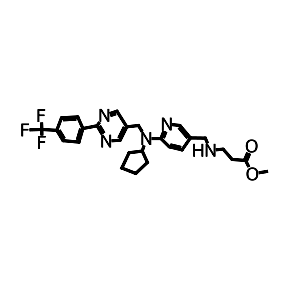 COC(=O)CCNCc1ccc(N(Cc2cnc(-c3ccc(C(F)(F)F)cc3)nc2)C2CCCC2)nc1